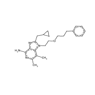 Cc1nc(N)c2nc(CC3CC3)n(CCOCCCc3ccccc3)c2c1C